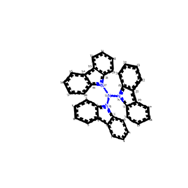 c1ccc2c(c1)c1ccccc1n2N(n1c2ccccc2c2ccccc21)n1c2ccccc2c2ccccc21